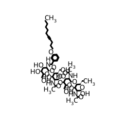 CCCCCCC#CCCCOc1cccc(C(=O)N[C@H]2C(O)[C@H](O)C(CO)O[C@H]2O[C@H]2C(O)C(NC(C)=O)C(OC3C(CO)O[C@@H](O[C@H]4C(O)C(NC(C)=O)C(O)O[C@H]4CC)[C@@H](NC(C)=O)C3O)O[C@H]2CO)c1